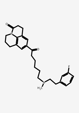 CN(CCCCCC(=O)c1cc2c3c(c1)CCC(=O)N3CCC2)CCc1cccc(F)c1